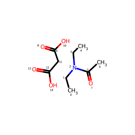 CCN(CC)C(C)=O.O=C(O)CC(=O)O